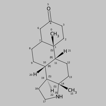 C[C@]12CCC(=O)CC1CC[C@@H]1[C@H]2CC[C@]2(C)NCC[C@@H]12